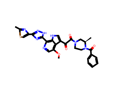 COc1cnc(-c2nc(-c3csc(C)n3)n[nH]2)c2[nH]cc(C(=O)C(=O)N3CCN(C(=O)c4ccccc4)[C@H](C)C3)c12